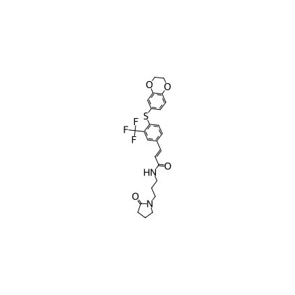 O=C(C=Cc1ccc(Sc2ccc3c(c2)OCCO3)c(C(F)(F)F)c1)NCCCN1CCCC1=O